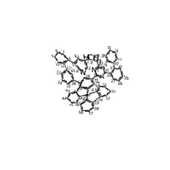 Cc1cncc(-c2ccccc2-c2cccc(-c3cc(-c4nc(C)cc(-c5ccccc5-c5ccccc5)n4)cc4c3-c3ccccc3C43c4ccccc4-c4ccccc43)c2)c1